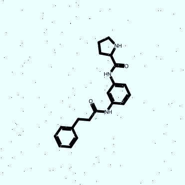 O=C(CCc1ccccc1)Nc1cccc(NC(=O)C2CCCN2)c1